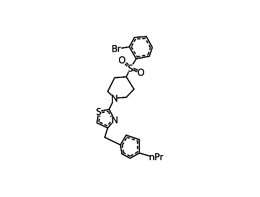 CCCc1ccc(Cc2csc(N3CCC(S(=O)(=O)c4ccccc4Br)CC3)n2)cc1